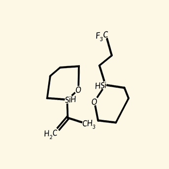 C=C(C)[SiH]1CCCCO1.FC(F)(F)CC[SiH]1CCCCO1